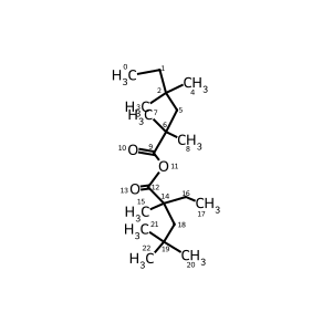 CCC(C)(C)CC(C)(C)C(=O)OC(=O)C(C)(CC)CC(C)(C)C